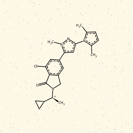 Cc1ccc(C)n1-c1cc(-c2cc(Cl)c3c(c2)CN([C@@H](C)C2CC2)C3=O)n(C)n1